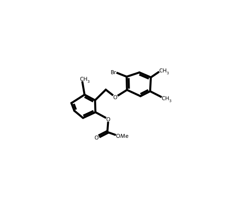 COC(=O)Oc1cccc(C)c1COc1cc(C)c(C)cc1Br